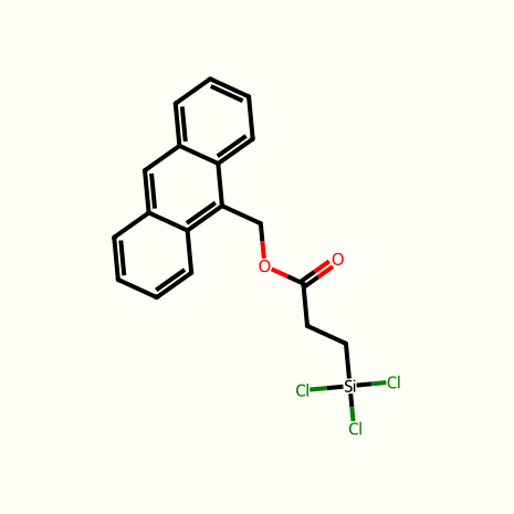 O=C(CC[Si](Cl)(Cl)Cl)OCc1c2ccccc2cc2ccccc12